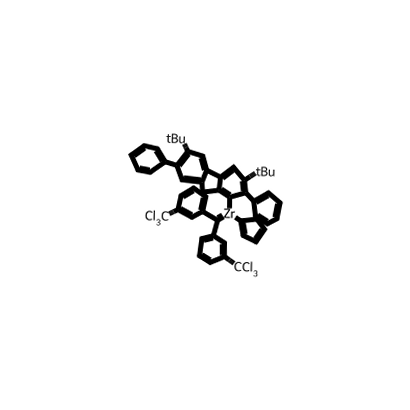 CC(C)(C)c1cc2c(cc1-c1ccccc1)Cc1c-2cc(C(C)(C)C)c(-c2ccccc2)[c]1[Zr]([C]1=CC=CC1)=[C](c1cccc(C(Cl)(Cl)Cl)c1)c1cccc(C(Cl)(Cl)Cl)c1